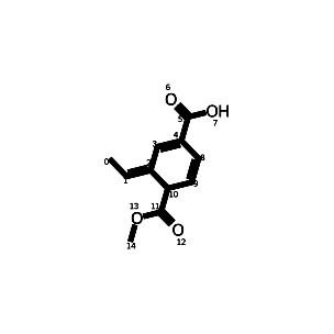 CC=C1C=C(C(=O)O)C=CC1C(=O)OC